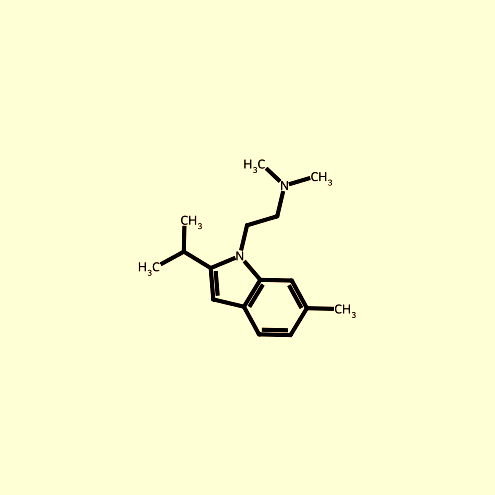 Cc1ccc2cc(C(C)C)n(CCN(C)C)c2c1